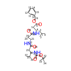 CC(C)C[C@@H](CC(=O)OCc1ccccc1)NC(=O)[C@@H](C)CNC(=O)CC(NC(=O)OC(C)(C)C)C(C)C